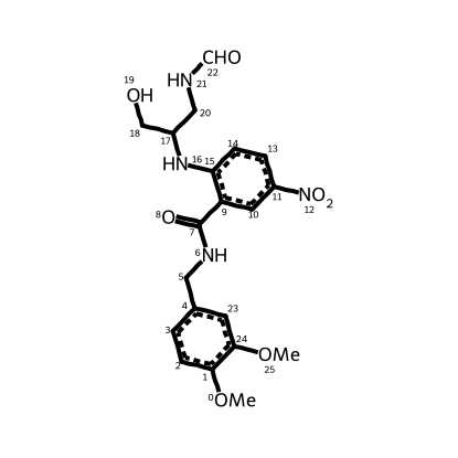 COc1ccc(CNC(=O)c2cc([N+](=O)[O-])ccc2NC(CO)CNC=O)cc1OC